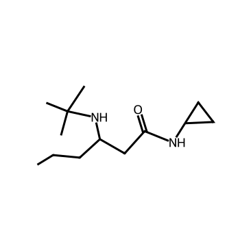 CCCC(CC(=O)NC1CC1)NC(C)(C)C